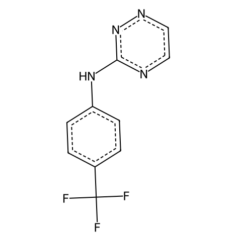 FC(F)(F)c1ccc(Nc2nccnn2)cc1